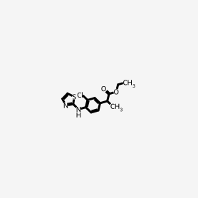 CCOC(=O)C(C)c1ccc(Nc2nccs2)c(Cl)c1